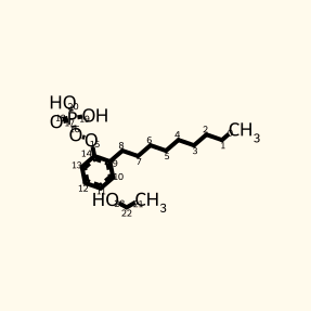 CCCCCCCCCc1ccccc1OOP(=O)(O)O.CCO